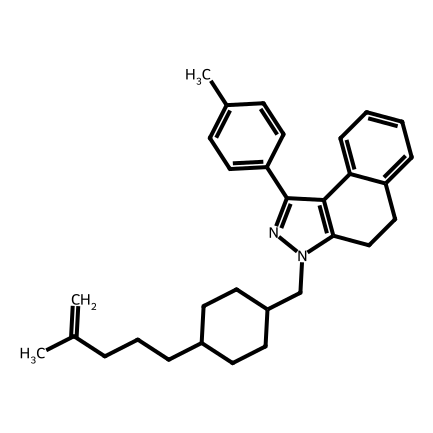 C=C(C)CCCC1CCC(Cn2nc(-c3ccc(C)cc3)c3c2CCc2ccccc2-3)CC1